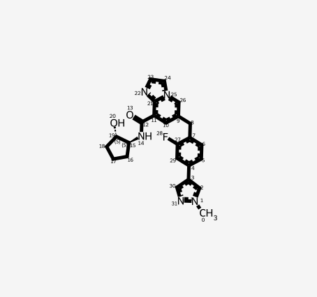 Cn1cc(-c2ccc(Cc3cc(C(=O)N[C@H]4CCC[C@@H]4O)c4nccn4c3)c(F)c2)cn1